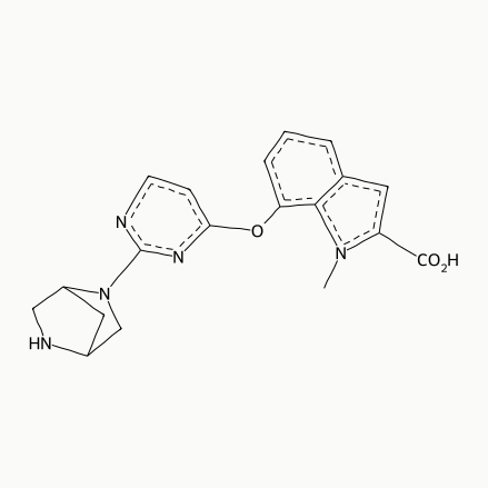 Cn1c(C(=O)O)cc2cccc(Oc3ccnc(N4CC5CC4CN5)n3)c21